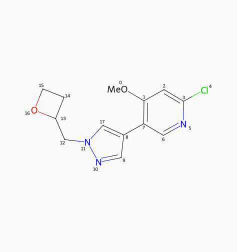 COc1cc(Cl)ncc1-c1cnn(CC2CCO2)c1